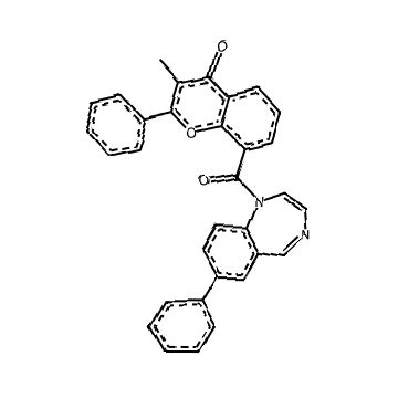 Cc1c(-c2ccccc2)oc2c(C(=O)N3C=CN=Cc4cc(-c5ccccc5)ccc43)cccc2c1=O